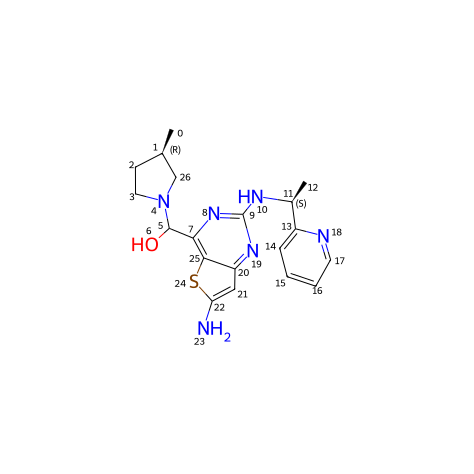 C[C@@H]1CCN(C(O)c2nc(N[C@@H](C)c3ccccn3)nc3cc(N)sc23)C1